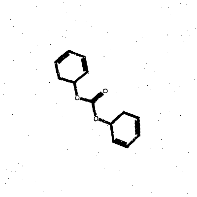 O=C(OC1C=CC=CC1)OC1C=CC=CC1